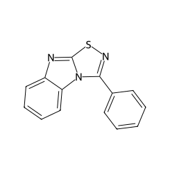 c1ccc(-c2nsc3nc4ccccc4n23)cc1